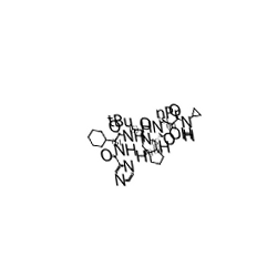 CCC[C@H](NC(=O)[C@@H]1[C@H]2CCC[C@H]2CN1C(=O)[C@@H](NC(=O)[C@@H](NC(=O)c1cnccn1)C1CCCCC1)C(C)(C)C)[C@@H](O)C(=O)NC1CC1